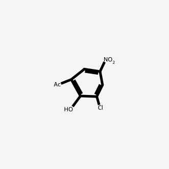 CC(=O)c1cc([N+](=O)[O-])cc(Cl)c1O